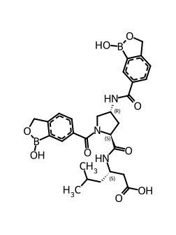 CC(C)C[C@@H](CC(=O)O)NC(=O)[C@@H]1C[C@@H](NC(=O)c2ccc3c(c2)B(O)OC3)CN1C(=O)c1ccc2c(c1)B(O)OC2